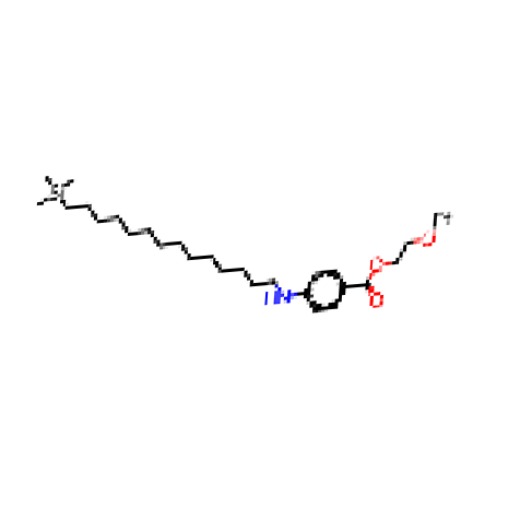 CCOCCOC(=O)c1ccc(NCCCCCCCCCCCCCC[Si](C)(C)C)cc1